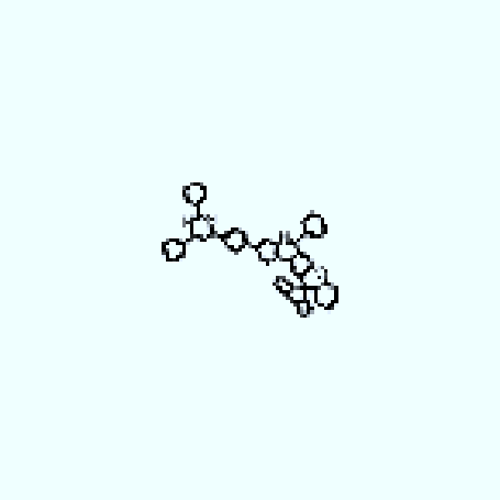 c1ccc(-c2cc(-c3ccc(-c4ccc5c(c4)nc(-c4ccccc4)c4cc6c(cc45)C4(c5ccccc5O6)c5ccccc5-c5ccccc54)cc3)nc(-c3ccccc3)n2)cc1